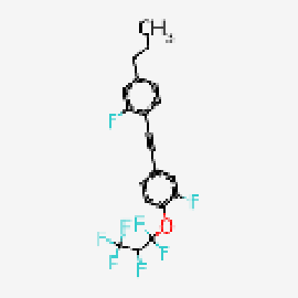 CCCc1ccc(C#Cc2ccc(OC(F)(F)C(F)C(F)(F)F)c(F)c2)c(F)c1